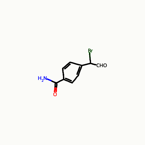 NC(=O)c1ccc(C(Br)C=O)cc1